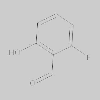 O=[C]c1c(O)cccc1F